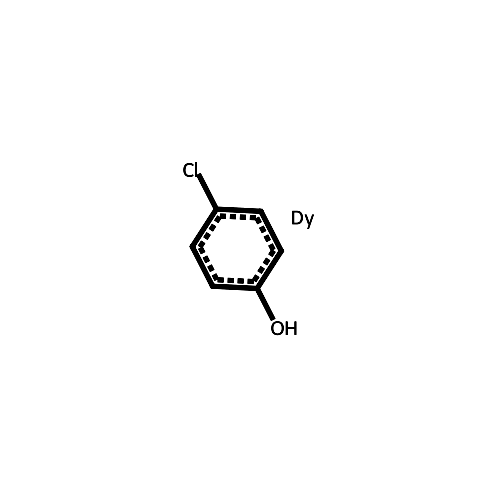 Oc1ccc(Cl)cc1.[Dy]